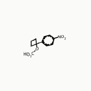 O=C(O)OC1(c2ccc([N+](=O)[O-])cc2)CCC1